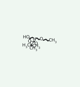 CCCCOCCN(CC(=O)O)C(=O)OC(C)(C)C